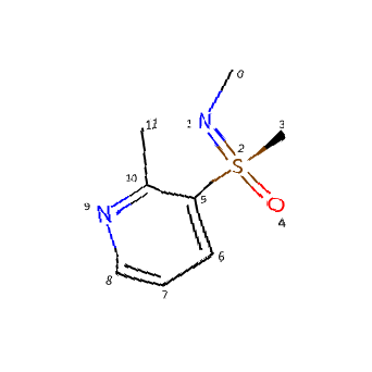 CN=[S@](C)(=O)c1cccnc1C